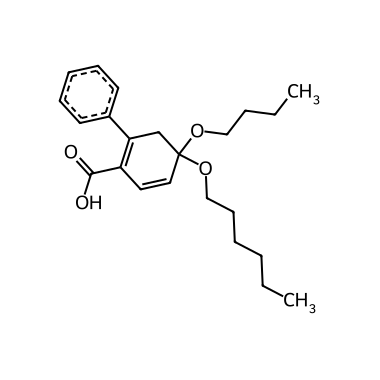 CCCCCCOC1(OCCCC)C=CC(C(=O)O)=C(c2ccccc2)C1